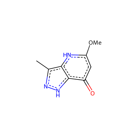 COc1cc(=O)c2[nH]nc(C)c2[nH]1